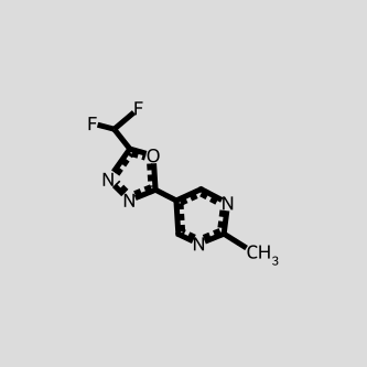 Cc1ncc(-c2nnc(C(F)F)o2)cn1